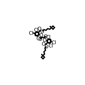 CC1(CCCCOC(=O)c2c(Cl)c(Cl)cc(Cl)c2OC(=O)C(=O)Oc2c(Cl)cc(Cl)c(Cl)c2C(=O)OCCCCC2(C)CCC2)CCC1